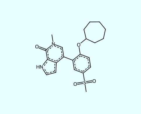 Cn1cc(-c2cc(S(C)(=O)=O)ccc2OC2CCCCCC2)c2cc[nH]c2c1=O